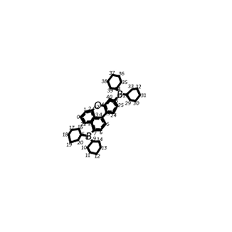 c1cc2c3c(ccc(B(C4CCCCC4)C4CCCCC4)c3c1)-c1ccc(B(C3CCCCC3)C3CCCCC3)cc1O2